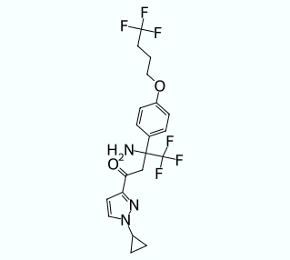 NC(CC(=O)c1ccn(C2CC2)n1)(c1ccc(OCCCC(F)(F)F)cc1)C(F)(F)F